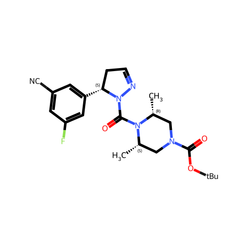 C[C@@H]1CN(C(=O)OC(C)(C)C)C[C@H](C)N1C(=O)N1N=CC[C@H]1c1cc(F)cc(C#N)c1